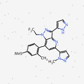 CSc1ccc(-c2cc(-c3ccnn3C)nc3c(-c4ccn[nH]4)nn(CC(F)(F)F)c23)c(C)c1